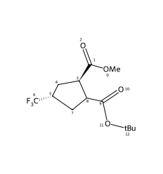 COC(=O)[C@@H]1C[C@@H](C(F)(F)F)CC1C(=O)OC(C)(C)C